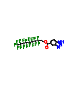 O=C(OCCC(F)(F)C(F)(F)C(F)(F)C(F)(F)C(F)(F)C(F)(F)C(F)(F)C(F)(F)F)c1ccc2[nH]nnc2c1